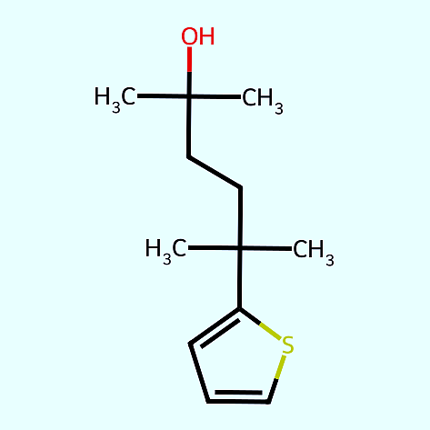 CC(C)(O)CCC(C)(C)c1cccs1